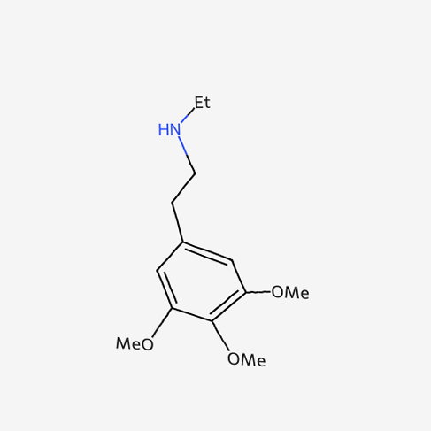 CCNCCc1cc(OC)c(OC)c(OC)c1